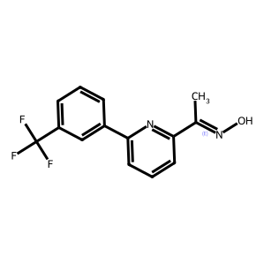 C/C(=N\O)c1cccc(-c2cccc(C(F)(F)F)c2)n1